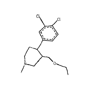 CCOCC1CN(C)CCC1c1ccc(Cl)c(Cl)c1